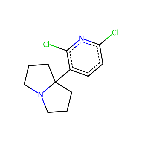 Clc1ccc(C23CCCN2CCC3)c(Cl)n1